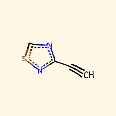 C#Cc1ncsn1